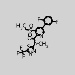 CCS(=O)(=O)c1cc(-c2cc(F)ccc2F)cnc1C(=O)N(C)c1nnc(C(F)(F)F)s1